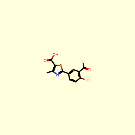 Cc1nc(-c2ccc(O)c(C(=O)I)c2)sc1C(=O)O